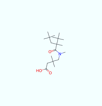 CN(CC(C)(C)CC(=O)O)C(=O)C(C)(CC(C)(C)C)C(C)(C)C